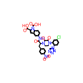 O=C(O)c1cc2cc(NC(=O)C(Cc3ccc([N+](=O)[O-])cc3)N3CCN(c4cc(Cl)ccc4-n4cnnn4)C(=O)C3=O)ccc2n1C(=O)O